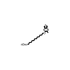 CCCCCCCCCCCCCCCCCCCCCCOc1nc2cscc2nc1C